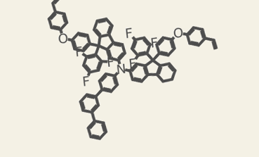 C=Cc1ccc(Oc2ccc(C3(c4c(F)cc(F)cc4F)C4=C(CCC=C4)c4ccc(N(c5ccc(-c6cccc(-c7ccccc7)c6)cc5)c5ccc6c(c5)C(c5ccc(Oc7ccc(C=C)cc7)cc5)(c5c(F)cc(F)cc5F)c5ccccc5-6)cc43)cc2)cc1